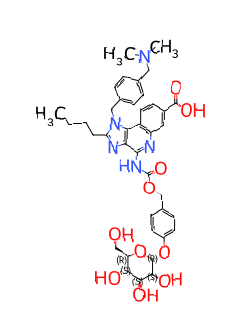 CCCCc1nc2c(NC(=O)OCc3ccc(O[C@H]4O[C@H](CO)[C@@H](O)[C@H](O)[C@@H]4O)cc3)nc3cc(C(=O)O)ccc3c2n1Cc1ccc(CN(C)C)cc1